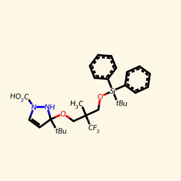 CC(C)(C)C1(OCC(C)(CO[Si](c2ccccc2)(c2ccccc2)C(C)(C)C)C(F)(F)F)C=CN(C(=O)O)N1